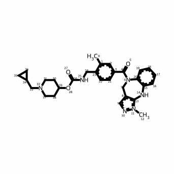 Cc1cc(C(=O)N2Cc3cnn(C)c3Nc3ccccc32)ccc1CNC(=O)OC1CCN(CC2CC2)CC1